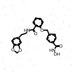 O=C(NO)c1ccc(COc2ccccc2C(=O)NCCc2ccc3c(c2)OCO3)cc1